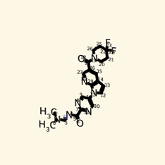 CN(C)/C=N/C(=O)c1ncc(-n2ccc3cc(C(=O)N4CCC(F)(F)CC4)cnc32)cn1